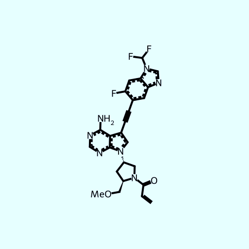 C=CC(=O)N1C[C@@H](n2cc(C#Cc3cc4ncn(C(F)F)c4cc3F)c3c(N)ncnc32)C[C@@H]1COC